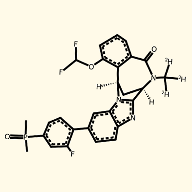 [2H]C([2H])([2H])N1C(=O)c2cccc(OC(F)F)c2[C@H]2C[C@@H]1c1nc3ccc(-c4ccc(P(C)(C)=O)cc4F)cc3n12